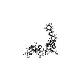 C=C[C@@H]1C[C@]1(NC(=O)CC1CCCN1C(=O)[C@@H](NC(=O)OC(C)(C)C)C(C)C)C(=O)NS(=O)(=O)c1cccc(OCc2ccccc2)c1